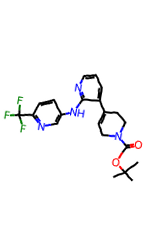 CC(C)(C)OC(=O)N1CC=C(c2cccnc2Nc2ccc(C(F)(F)F)nc2)CC1